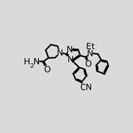 CCN(Cc1ccccc1)C(=O)c1cnc(N2CCCC(C(N)=O)C2)nc1-c1ccc(C#N)cc1